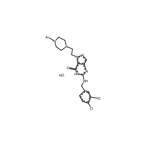 CC(=O)N1CCN(CCn2ncc3nc(NCc4ccc(Cl)c(Cl)c4)[nH]c(=O)c32)CC1.Cl